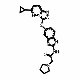 O=C(CN1CCCC1)Nc1nc2ccc(Sc3nnc4ccc(C5CC5)nn34)cc2s1